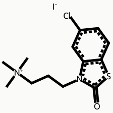 C[N+](C)(C)CCCn1c(=O)sc2ccc(Cl)cc21.[I-]